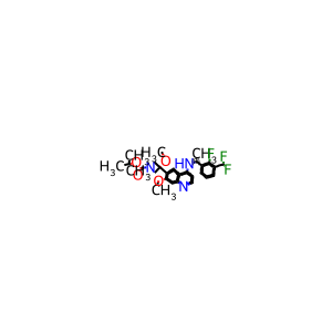 COc1cc2nccc(N[C@H](C)c3cccc(C(F)F)c3F)c2cc1C1(OC)CN(C(=O)OC(C)(C)C)C1